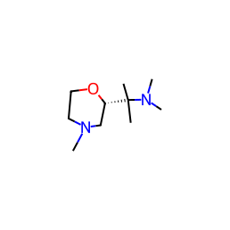 CN1CCO[C@H](C(C)(C)N(C)C)C1